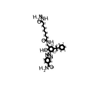 CC(C)(c1ccccc1)c1cc(CNC(=O)CCCCCCCC(=O)NN)c(O)c(-n2nc3ccc(C(N)=O)cc3n2)c1